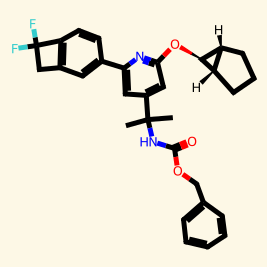 CC(C)(NC(=O)OCc1ccccc1)c1cc(O[C@H]2[C@@H]3CCC[C@@H]32)nc(-c2ccc3c(c2)CC3(F)F)c1